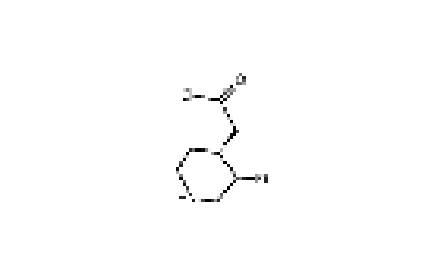 CC[C@H]1CNCC[C@H]1CC(=O)Cl